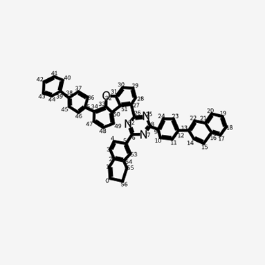 C1=Cc2ccc(-c3nc(-c4ccc(-c5ccc6ccccc6c5)cc4)nc(-c4cccc5oc6c(-c7ccc(-c8ccccc8)cc7)cccc6c45)n3)cc2CC1